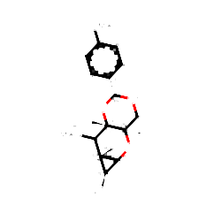 CCOC(=O)[C@@H]1[C@H]2O[C@@H]3CO[C@@H](c4ccc(OC)cc4)O[C@H]3C(OC)[C@H]21